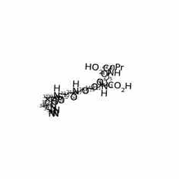 CCCC(NC(=O)CCC(NC(=O)COCCOCCNC(=O)CCC[S+]([O-])NC(=O)CC(C)(C)CC(C)(C)Cc1nnn[nH]1)C(=O)O)C(=O)O